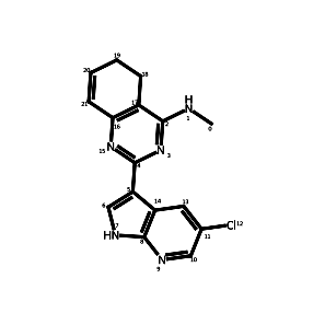 CNc1nc(-c2c[nH]c3ncc(Cl)cc23)nc2c1CCC=C2